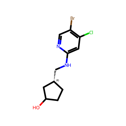 OC1CC[C@@H](CNc2cc(Cl)c(Br)cn2)C1